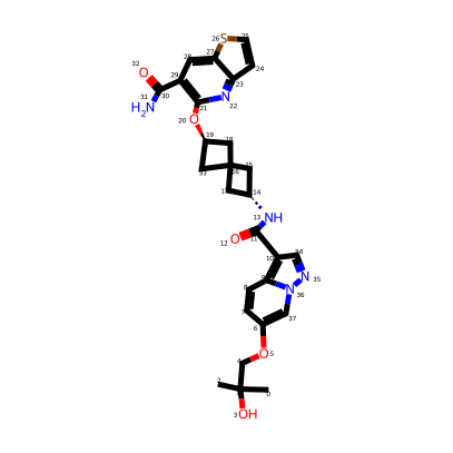 CC(C)(O)COc1ccc2c(C(=O)N[C@H]3CC4(C3)C[C@H](Oc3nc5ccsc5cc3C(N)=O)C4)cnn2c1